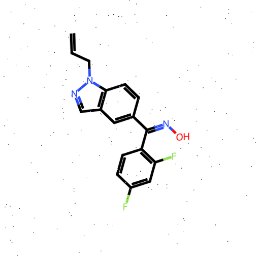 C=CCn1ncc2cc(C(=NO)c3ccc(F)cc3F)ccc21